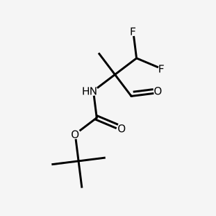 CC(C)(C)OC(=O)NC(C)(C=O)C(F)F